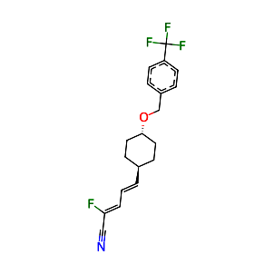 N#CC(F)=CC=C[C@H]1CC[C@H](OCc2ccc(C(F)(F)F)cc2)CC1